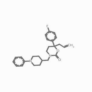 C=CCC1(c2ccc(F)cc2)CCN(CC2CCN(c3ccccc3)CC2)C(=O)O1